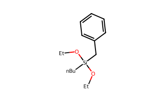 CCCC[Si](Cc1ccccc1)(OCC)OCC